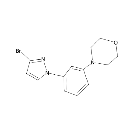 Brc1ccn(-c2cccc(N3CCOCC3)c2)n1